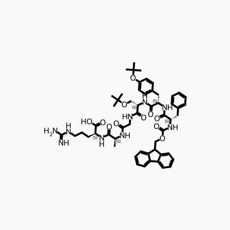 C[C@H](NC(=O)CNC(=O)[C@H](COC(C)(C)C)NC(=O)[C@H](Cc1ccc(OC(C)(C)C)cc1)NC(=O)[C@H](Cc1ccccc1)NC(=O)OCC1c2ccccc2-c2ccccc21)C(=O)N[C@@H](CCCNC(=N)N)C(=O)O